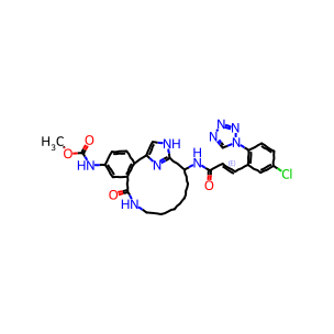 COC(=O)Nc1ccc2c(c1)C(=O)NCCCCCC(NC(=O)/C=C/c1cc(Cl)ccc1-n1cnnn1)c1nc-2c[nH]1